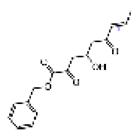 C/C=C/C(=O)CC(O)CC(=O)C(=O)OCc1ccccc1